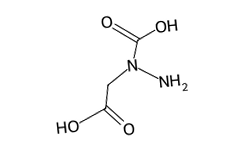 NN(CC(=O)O)C(=O)O